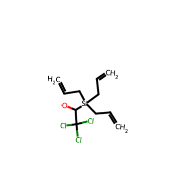 C=CC[Si](CC=C)(CC=C)C([O])C(Cl)(Cl)Cl